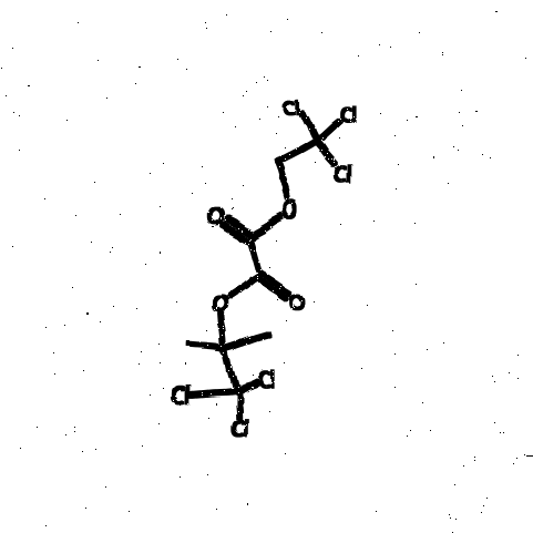 CC(C)(OC(=O)C(=O)OCC(Cl)(Cl)Cl)C(Cl)(Cl)Cl